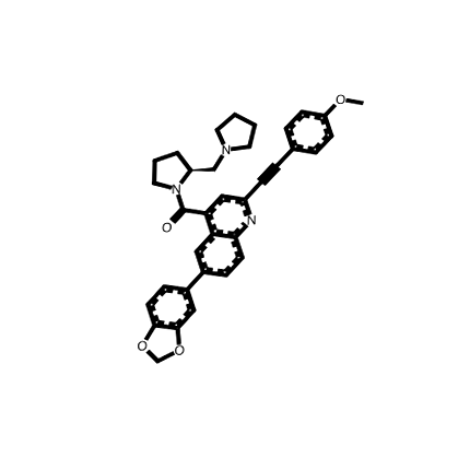 COc1ccc(C#Cc2cc(C(=O)N3CCC[C@H]3CN3CCCC3)c3cc(-c4ccc5c(c4)OCO5)ccc3n2)cc1